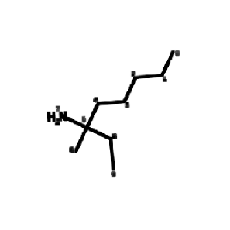 CCCCCC(C)(N)CI